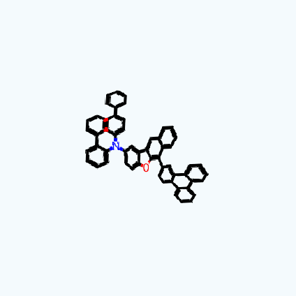 c1ccc(-c2ccc(N(c3ccc4oc5c(-c6ccc7c8ccccc8c8ccccc8c7c6)c6ccccc6cc5c4c3)c3ccccc3-c3ccccc3)cc2)cc1